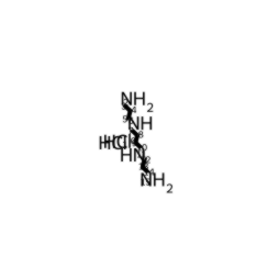 Cl.Cl.NCCCNCCCCNCCCN